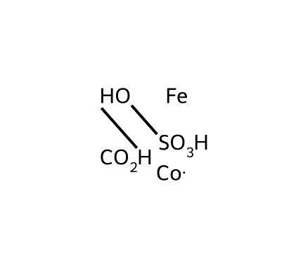 CC(=O)O.O=S(=O)(O)O.[Co].[Fe]